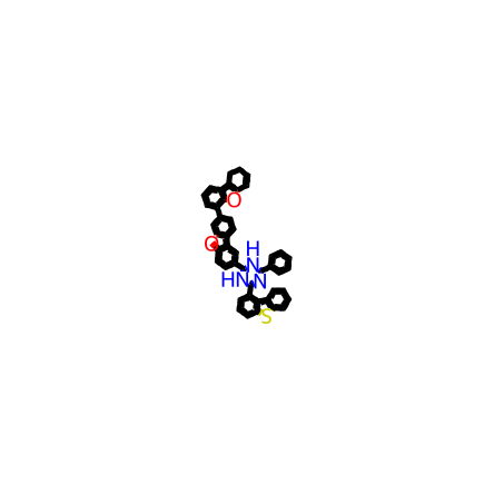 C1=Cc2oc3c(-c4ccc5c(c4)oc4ccc(C6NC(c7cccc8sc9ccccc9c78)=NC(c7ccccc7)N6)cc45)cccc3c2CC1